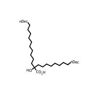 CCCCCCCCCCCCCCCCCCCCC(O)(CCCCCCCCCCCCCCCCCC)C(=O)O